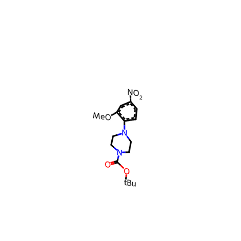 COc1cc([N+](=O)[O-])ccc1N1CCN(C(=O)OC(C)(C)C)CC1